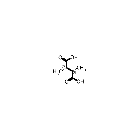 C[C@H](C(=O)O)[C@H](C)C(=O)O